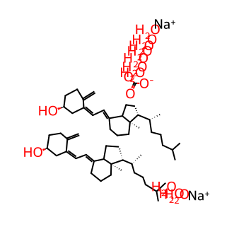 C=C1CC[C@H](O)C/C1=C/C=C1CCC[C@@]2(C)C1CC[C@@H]2[C@H](C)CCCC(C)C.C=C1CC[C@H](O)C/C1=C/C=C1CCC[C@@]2(C)C1CC[C@@H]2[C@H](C)CCCC(C)C.O.O.O.O.O.O.O.O.O.O.O=C([O-])[O-].[Na+].[Na+]